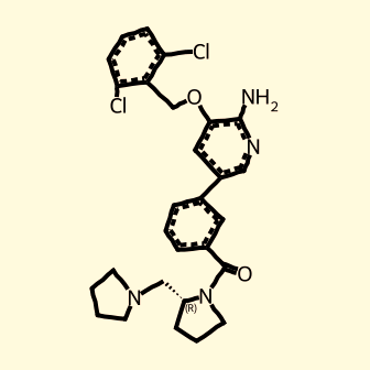 Nc1ncc(-c2cccc(C(=O)N3CCC[C@@H]3CN3CCCC3)c2)cc1OCc1c(Cl)cccc1Cl